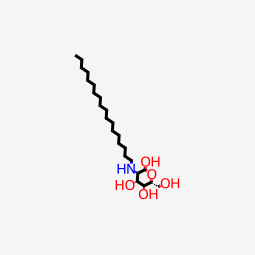 CCCCCCCCCCCCCCCCCCN[C@H]1C(O)O[C@H](CO)[C@@H](O)[C@@H]1O